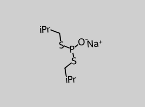 CC(C)CSP([O-])SCC(C)C.[Na+]